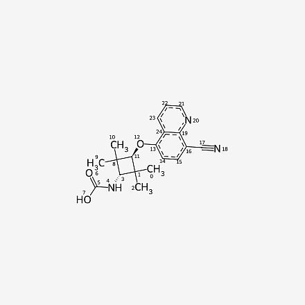 CC1(C)[C@H](NC(=O)O)C(C)(C)[C@H]1Oc1ccc(C#N)c2ncccc12